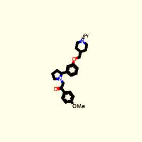 COc1ccc(C(=O)CN2CCCC2c2cccc(OCC3CCN(C(C)C)CC3)c2)cc1